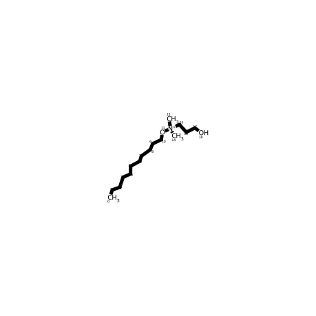 CCCCCCCCCCCO[N+](C)(C)CCCO